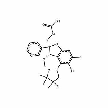 CO[C@H]1c2c(cc(F)c(Cl)c2B2OC(C)(C)C(C)(C)O2)O[C@]1(CNC(=O)O)c1ccccc1